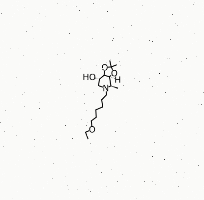 CCOCCCCCCN1C[C@H](O)C2OC(C)(C)O[C@H]2[C@H]1C